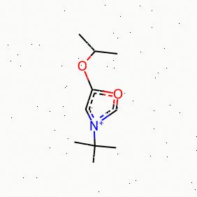 CC(C)Oc1c[n+](C(C)(C)C)co1